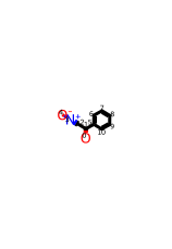 O=C(C#[N+][O-])c1ccccc1